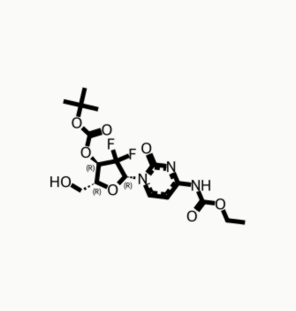 CCOC(=O)Nc1ccn([C@@H]2O[C@H](CO)[C@@H](OC(=O)OC(C)(C)C)C2(F)F)c(=O)n1